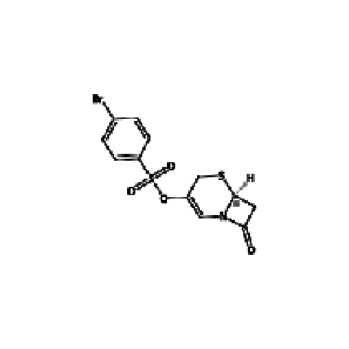 O=C1C[C@@H]2SCC(OS(=O)(=O)c3ccc(Br)cc3)=CN12